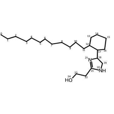 CCCCCCCCCCCCC1CCCCC1C1CNC(CCO)=N1